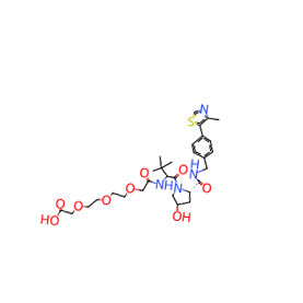 Cc1ncsc1-c1ccc(CNC(=O)[C@@H]2C[C@@H](O)CN2C(=O)C(NC(=O)COCCOCCOCC(=O)O)C(C)(C)C)cc1